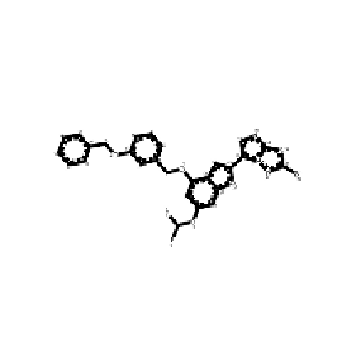 FC(F)Oc1cc(OCc2cccc(OCc3ccccc3)c2)c2cc(-c3cnc4sc(Br)nn34)oc2c1